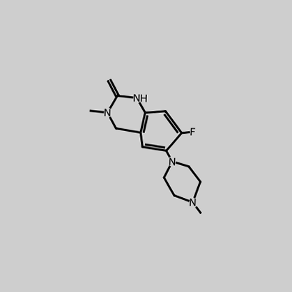 C=C1Nc2cc(F)c(N3CCN(C)CC3)cc2CN1C